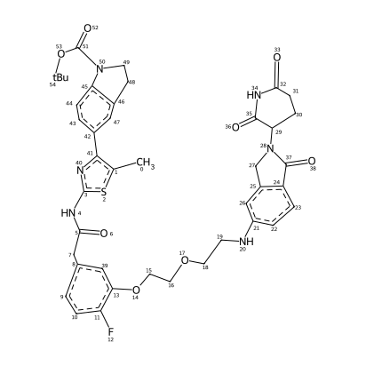 Cc1sc(NC(=O)Cc2ccc(F)c(OCCOCCNc3ccc4c(c3)CN(C3CCC(=O)NC3=O)C4=O)c2)nc1-c1ccc2c(c1)CCN2C(=O)OC(C)(C)C